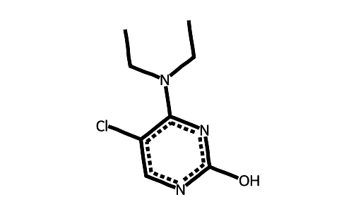 CCN(CC)c1nc(O)ncc1Cl